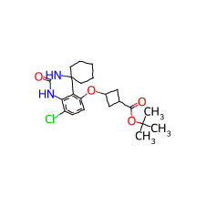 CC(C)(C)OC(=O)C1CC(Oc2ccc(Cl)c3c2C2(CCCCC2)NC(=O)N3)C1